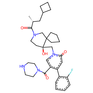 C[C@H](CC1CCC1)C(=O)N1CC[C@@](O)(Cn2cc(C(=O)N3CCNCC3)c(-c3ccccc3F)cc2=O)C2(CCCC2)C1